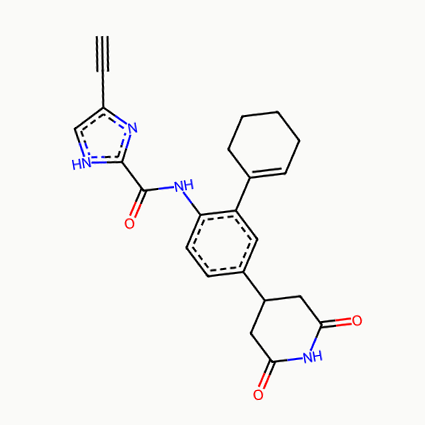 C#Cc1c[nH]c(C(=O)Nc2ccc(C3CC(=O)NC(=O)C3)cc2C2=CCCCC2)n1